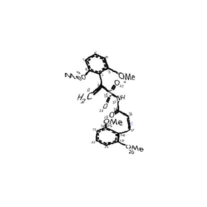 C=C(c1c(OC)cccc1OC)S(=O)(=O)NC(=O)/C=C\c1c(OC)cccc1OC